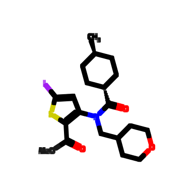 COC(=O)c1sc(I)cc1N(CC1CCOCC1)C(=O)[C@H]1CC[C@H](C)CC1